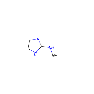 CCCNC1[N]CCN1